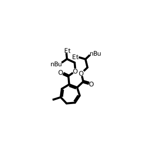 CCCCC(CC)COC(=O)C1=C(C(=O)OCC(CC)CCCC)C=C(C)CC=C1